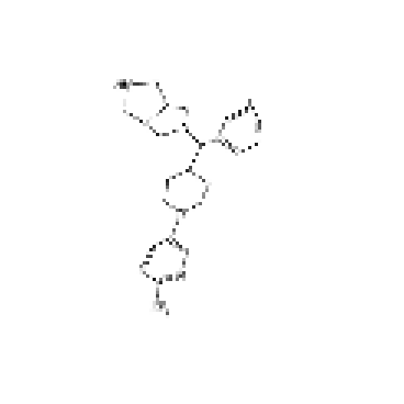 FC(F)(F)c1ccc(N2CCC(C(c3cccnc3)N3CC4CNCC4C3)CC2)cn1